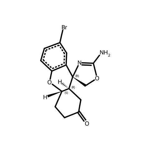 NC1=N[C@@]2(CO1)c1cc(Br)ccc1O[C@H]1CCC(=O)C[C@@H]12